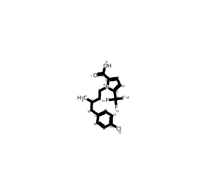 CC(CCn1c(C(=O)O)ccc1C(F)(F)F)Cc1ccc(Cl)cc1